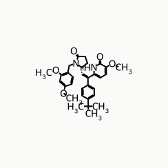 COc1ccc(CN2C(=O)CC[C@@H]2C=C(c2ccc(C(C)(C)C)cc2)c2ccc(OC)c(=O)[nH]2)c(OC)c1